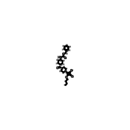 CCCCOc1c(N2CCN(C(=O)[C@H]3CC[C@H](NC(=O)OCc4ccccc4)CC3)CC2)c(=O)c1=O